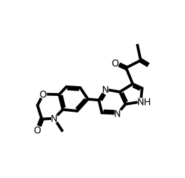 C=C(C)C(=O)c1c[nH]c2ncc(-c3ccc4c(c3)N(C)C(=O)CO4)nc12